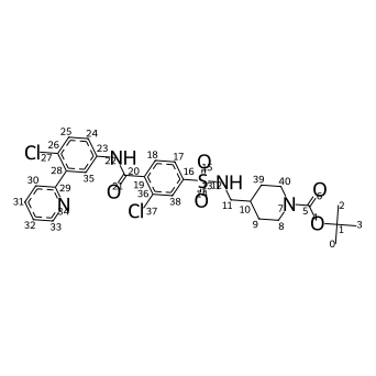 CC(C)(C)OC(=O)N1CCC(CNS(=O)(=O)c2ccc(C(=O)Nc3ccc(Cl)c(-c4ccccn4)c3)c(Cl)c2)CC1